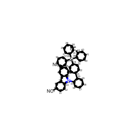 N#Cc1ccc2c(c1)c1cc(C#N)ccc1n2-c1ccccc1-c1ccc([Si](c2ccccc2)(c2ccccc2)c2ccccc2C#N)cc1